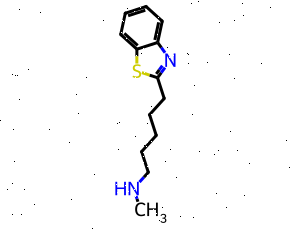 CNCCCCCc1nc2ccccc2s1